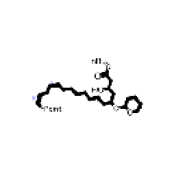 CCCCC/C=C\C/C=C\CCCCCCCC(CC(O)CC(=O)OCCCC)OC1CCCCO1